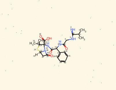 CC(C)C(=N)NCC(=O)NC(C(=O)N[C@@]1(C(=O)O)N2C(=O)C[C@H]2SC1(C)C)c1ccccc1